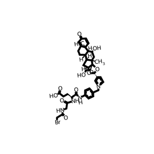 C[C@]12C=CC(=O)C=C1CC[C@@H]1[C@@H]2[C@@H](O)C[C@@]2(C)[C@H]1C[C@H]1O[C@@H](c3ccn(Cc4ccc(NC(=O)[C@H](CCC(=O)O)NC(=O)CNC(=O)CBr)cc4)c3)O[C@]12C(=O)CO